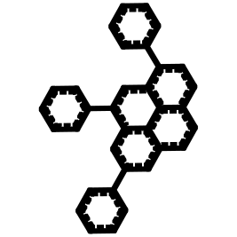 c1ccc(-c2cc3ccc4ccc(-c5ccccc5)c5cc(-c6ccccc6)c(c2)c3c45)cc1